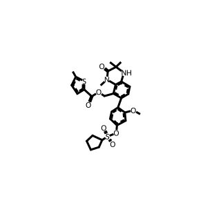 COc1cc(OS(=O)(=O)C2CCCC2)ccc1-c1ccc2c(c1COC(=O)c1ccc(C)s1)N(C)C(=O)C(C)(C)N2